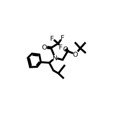 CC(C)CC(c1ccccc1)N(CC(=O)OC(C)(C)C)C(=O)C(F)(F)F